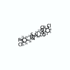 O=S(=O)(c1cccc(Cl)c1Cl)C1CCN(c2nc(Cc3ccc(F)c(Cl)c3)cs2)CC1